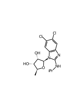 CC(C)Nc1nc2cc(Cl)c(Cl)cc2n1[C@H]1O[C@@H](C)[C@H](O)[C@@H]1O